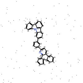 c1cc(-c2ccc3c4cccc5c6ccccc6n(c3c2)c54)cc(-c2ccc3c4ccccc4c4ccccc4c3n2)c1